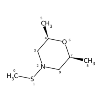 CSN1C[C@@H](C)O[C@@H](C)C1